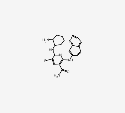 NC(=O)c1cc(F)c(N[C@@H]2CCCC[C@@H]2N)nc1Nc1ccc2nccnc2c1